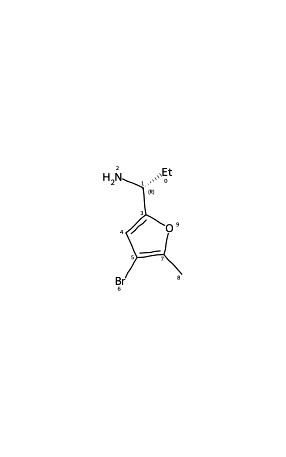 CC[C@@H](N)c1cc(Br)c(C)o1